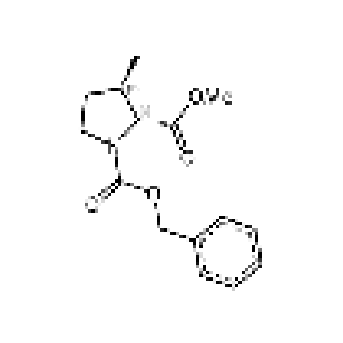 COC(=O)[C@H]1[C@H](C)CCN1C(=O)OCc1ccccc1